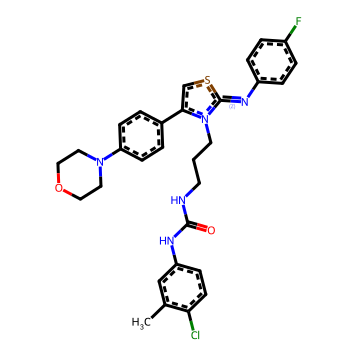 Cc1cc(NC(=O)NCCCn2c(-c3ccc(N4CCOCC4)cc3)cs/c2=N\c2ccc(F)cc2)ccc1Cl